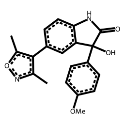 COc1ccc(C2(O)C(=O)Nc3ccc(-c4c(C)noc4C)cc32)cc1